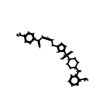 O=C(N=[N+]=NCc1ccc(S(=O)(=O)N2CCC(Nc3ncccc3[N+](=O)[O-])CC2)s1)c1ccc([N+](=O)[O-])cc1